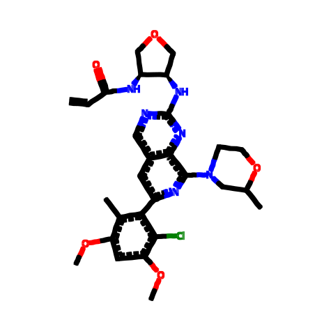 C=CC(=O)N[C@H]1COC[C@H]1Nc1ncc2cc(-c3c(C)c(OC)cc(OC)c3Cl)nc(N3CCOC(C)C3)c2n1